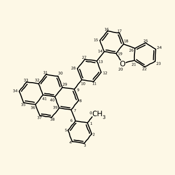 Cc1ccccc1-c1cc(-c2ccc(-c3cccc4c3oc3ccccc34)cc2)c2ccc3cccc4ccc1c2c34